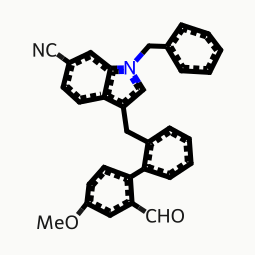 COc1ccc(-c2ccccc2Cc2cn(Cc3ccccc3)c3cc(C#N)ccc23)c(C=O)c1